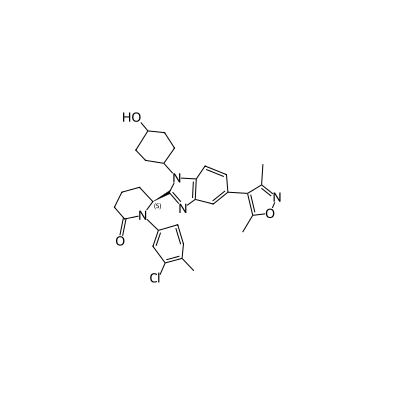 Cc1ccc(N2C(=O)CCC[C@H]2c2nc3cc(-c4c(C)noc4C)ccc3n2C2CCC(O)CC2)cc1Cl